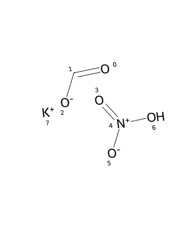 O=C[O-].O=[N+]([O-])O.[K+]